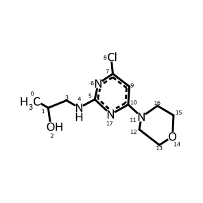 CC(O)CNc1nc(Cl)cc(N2CCOCC2)n1